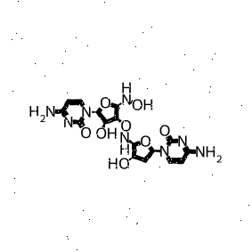 Nc1ccn([C@@H]2O[C@H](NO)[C@@H](ON[C@H]3O[C@@H](n4ccc(N)nc4=O)C[C@@H]3O)[C@H]2O)c(=O)n1